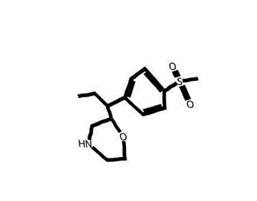 CCC(c1ccc(S(C)(=O)=O)cc1)C1CNCCO1